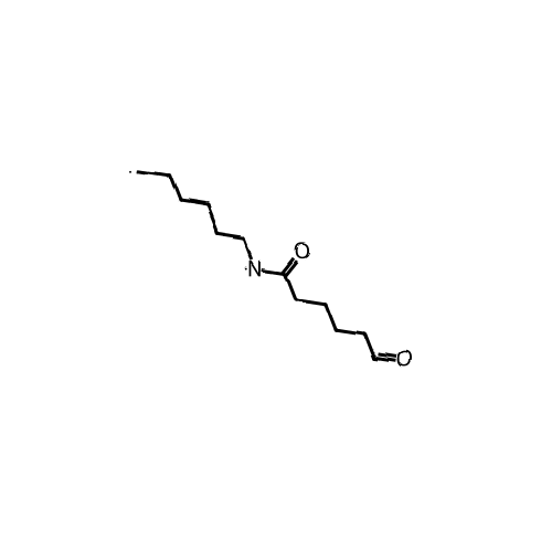 [CH2]CCCCC[N]C(=O)CCCCC=O